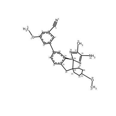 COc1cc(C#N)cc(-c2ccc3c(c2)[C@]2(N=C(C)C(N)=N2)C2(CCC(OC)CC2)C3)c1